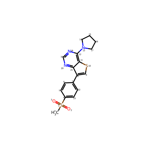 CS(=O)(=O)c1ccc(-c2csc3c(N4CCCC4)ncnc23)cc1